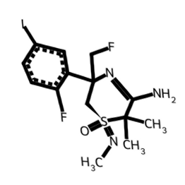 CN=[S@@]1(=O)CC(CF)(c2cc(I)ccc2F)N=C(N)C1(C)C